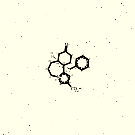 O=C1CC[C@@]2(Cc3ccccc3)c3cc(C(=O)O)cn3CCC[C@H]2C1